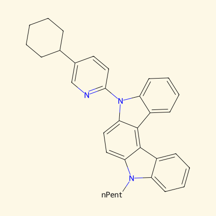 CCCCCn1c2ccccc2c2c3c4ccccc4n(-c4ccc(C5CCCCC5)cn4)c3ccc21